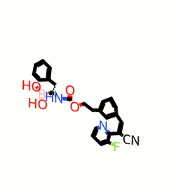 N#CC(=Cc1cccc(CCOC(=O)N[C@@H](Cc2ccccc2)B(O)O)c1)c1ncccc1F